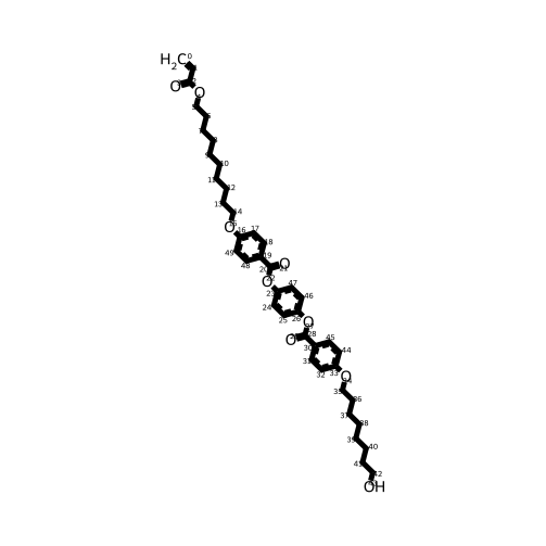 C=CC(=O)OCCCCCCCCCCOc1ccc(C(=O)Oc2ccc(OC(=O)c3ccc(OCCCCCCCCO)cc3)cc2)cc1